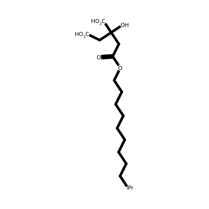 CC(C)CCCCCCCCCOC(=O)CC(O)(CC(=O)O)C(=O)O